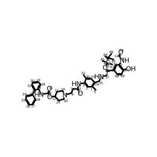 Cc1cc(NC(=O)CCN2CCC(OC(=O)Nc3ccccc3-c3ccccc3)CC2)c(C)cc1CNC[C@@H](O[Si](C)(C)C(C)(C)C)c1ccc(O)c(NC=O)c1